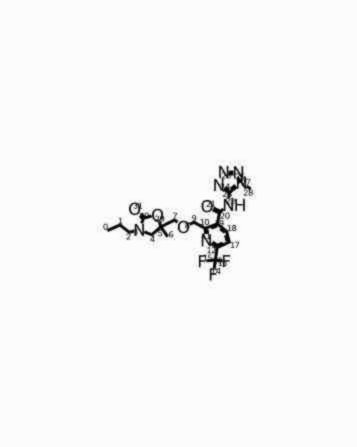 CCCN1CC(C)(COCc2nc(C(F)(F)F)ccc2C(=O)Nc2nnnn2C)OC1=O